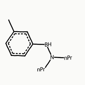 CCCN(Bc1cccc(C)c1)CCC